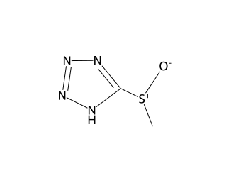 C[S+]([O-])c1nnn[nH]1